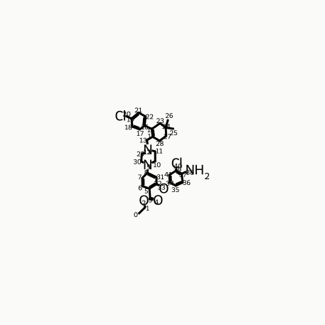 CCOC(=O)c1ccc(N2CCN(CC3=C(c4ccc(Cl)cc4)CC(C)(C)CC3)CC2)cc1Oc1ccc(N)c(Cl)c1